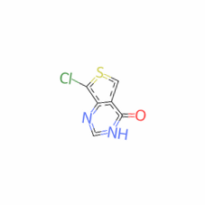 O=c1[nH]cnc2c(Cl)scc12